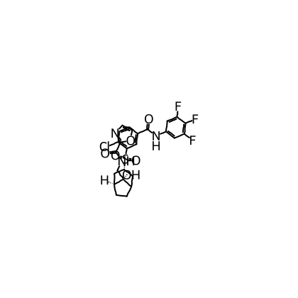 O=C(Nc1cc(F)c(F)c(F)c1)c1ccc(Cl)c(S(=O)(=O)[C@@H]2CC3CC[C@@H](C2)[C@@]3(O)CNC(=O)c2ncco2)c1